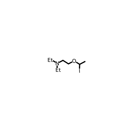 CCN(CC)CCOC(C)I